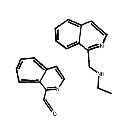 CCNCc1nccc2ccccc12.O=Cc1nccc2ccccc12